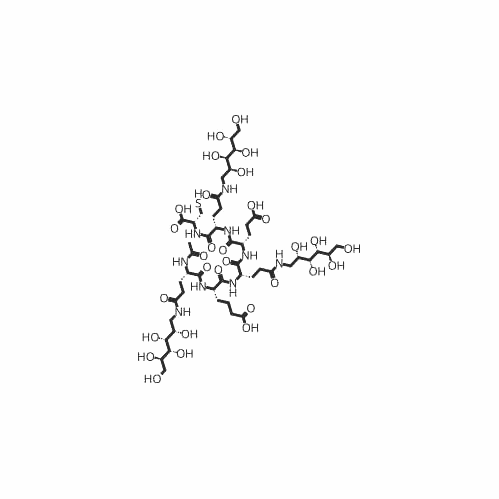 CC(=O)N[C@@H](CCC(=O)NC[C@H](O)[C@@H](O)[C@H](O)[C@H](O)CO)C(=O)N[C@@H](CCCC(=O)O)C(=O)N[C@@H](CCC(=O)NC[C@H](O)[C@@H](O)[C@H](O)[C@H](O)CO)C(=O)N[C@@H](CCC(=O)O)C(=O)N[C@@H](CCC(=O)NC[C@H](O)[C@@H](O)[C@H](O)[C@H](O)CO)C(=O)N[C@@H](CS)C(=O)O